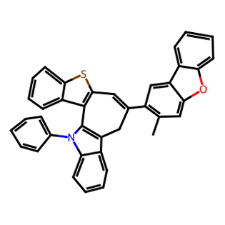 Cc1cc2oc3ccccc3c2cc1C1=Cc2sc3ccccc3c2-c2c(c3ccccc3n2-c2ccccc2)C1